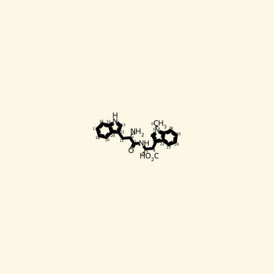 Cn1cc(C[C@@H](NC(=O)[C@@H](N)Cc2c[nH]c3ccccc23)C(=O)O)c2ccccc21